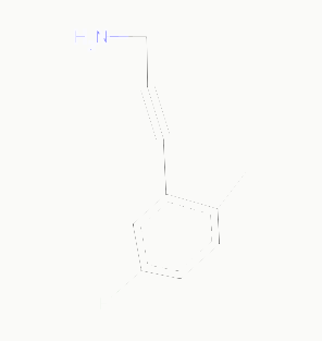 Cc1ccc(F)cc1C#CCN